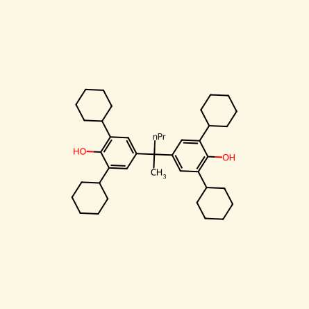 CCCC(C)(c1cc(C2CCCCC2)c(O)c(C2CCCCC2)c1)c1cc(C2CCCCC2)c(O)c(C2CCCCC2)c1